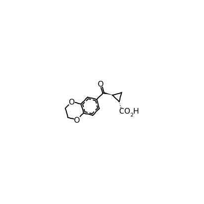 O=C(O)[C@H]1C[C@@H]1C(=O)c1ccc2c(c1)OCCO2